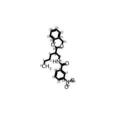 CCCCC(CNC(=O)c1cccc([N+](=O)[O-])c1)C1OCc2ccccc2O1